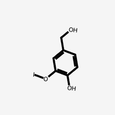 OCc1ccc(O)c(OI)c1